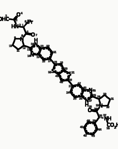 CC(C)[C@H](NC(=O)C=O)C(=O)N1CCCC1c1nc2cc(-c3cc4sc(-c5ccc6[nH]c(C7CCCN7C(=O)[C@H](NC(=O)O)c7ccccc7)nc6c5)cc4s3)ccc2[nH]1